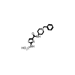 O=C(O)Nc1nc(C(=O)NC2CCN(Cc3ccccc3)CC2)cs1